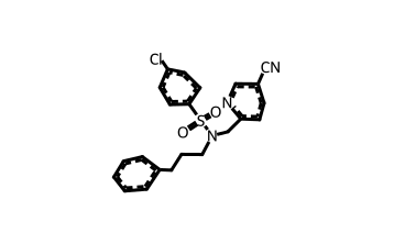 N#Cc1ccc(CN(CCCc2ccccc2)S(=O)(=O)c2ccc(Cl)cc2)nc1